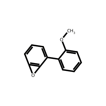 COc1ccccc1-c1cccc2c1O2